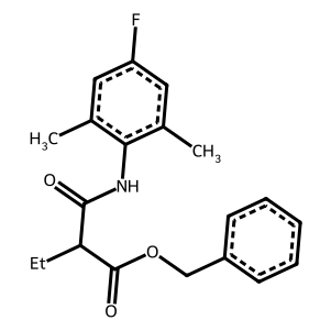 CCC(C(=O)Nc1c(C)cc(F)cc1C)C(=O)OCc1ccccc1